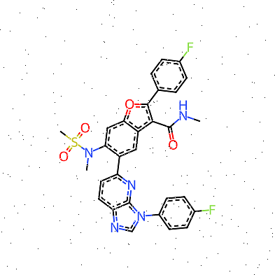 CNC(=O)c1c(-c2ccc(F)cc2)oc2cc(N(C)S(C)(=O)=O)c(-c3ccc4ncn(-c5ccc(F)cc5)c4n3)cc12